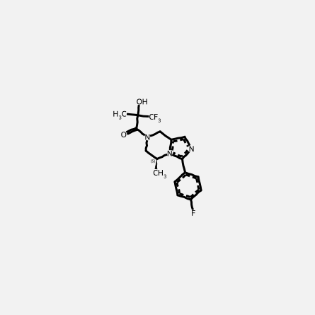 C[C@H]1CN(C(=O)C(C)(O)C(F)(F)F)Cc2cnc(-c3ccc(F)cc3)n21